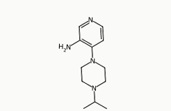 CC(C)N1CCN(c2ccncc2N)CC1